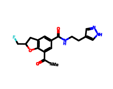 CNC(=O)c1cc(C(=O)NCCc2cn[nH]c2)cc2c1OC(CF)C2